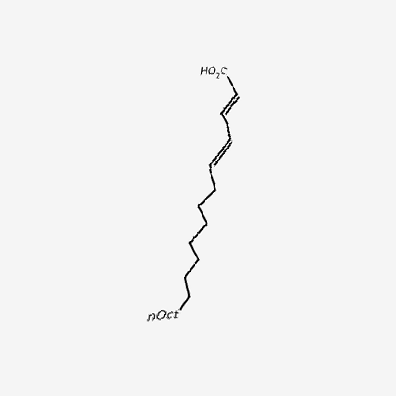 CCCCCCCCCCCCCCC/C=C/C=C/C(=O)O